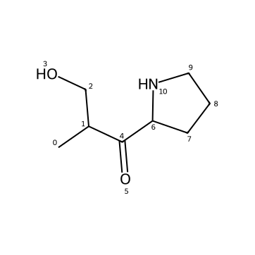 CC(CO)C(=O)C1CCCN1